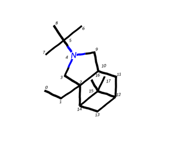 CCC12CN(C(C)(C)C)CC1CC1CC2C1(C)C